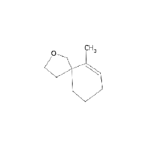 CC1=CCCCC12CCOC2